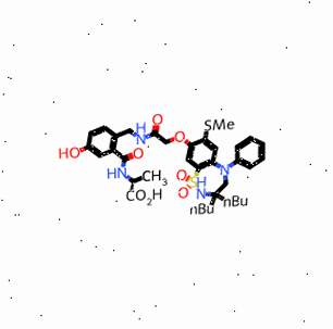 CCCCC1(CCCC)CN(c2ccccc2)c2cc(SC)c(OCC(=O)NCc3ccc(O)cc3C(=O)N[C@@H](C)C(=O)O)cc2S(=O)(=O)N1